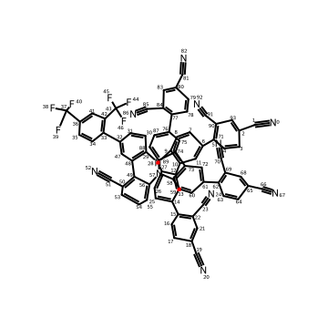 N#Cc1ccc(-c2ccc3c(c2)c2cc(-c4ccc(C#N)cc4C#N)ccc2n3-c2ccc(-c3ccc(C(F)(F)F)cc3C(F)(F)F)cc2-c2c(C#N)cccc2-n2c3ccc(-c4ccc(C#N)cc4C#N)cc3c3cc(-c4ccc(C#N)cc4C#N)ccc32)c(C#N)c1